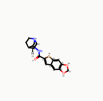 O=C(N[C@H]1CN2CCC1CC2)c1cc2cc3c(cc2s1)OCO3